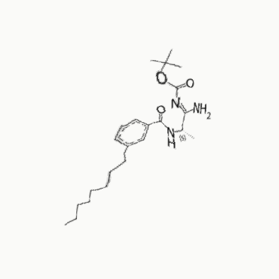 CCCCCCCCc1cccc(C(=O)N[C@@H](C)C(N)=NC(=O)OC(C)(C)C)c1